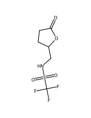 O=C1CCC(CNS(=O)(=O)C(F)(F)F)O1